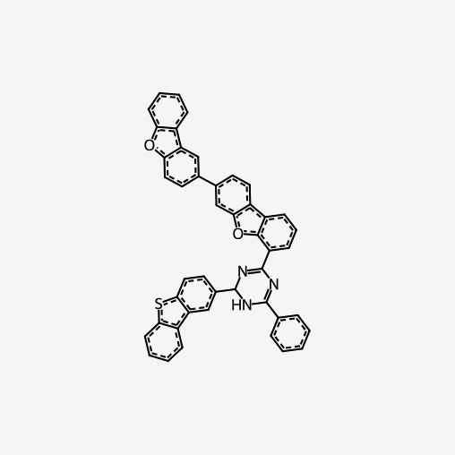 c1ccc(C2=NC(c3cccc4c3oc3cc(-c5ccc6oc7ccccc7c6c5)ccc34)=NC(c3ccc4sc5ccccc5c4c3)N2)cc1